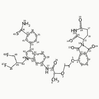 CC(OCCOc1cccc2c1C(=O)N(C1CCC(=O)NC1=O)C2=O)C(=O)Nc1ccc2c(-c3cccc(C(N)=S)c3)cn(CC(CF)CF)c2c1